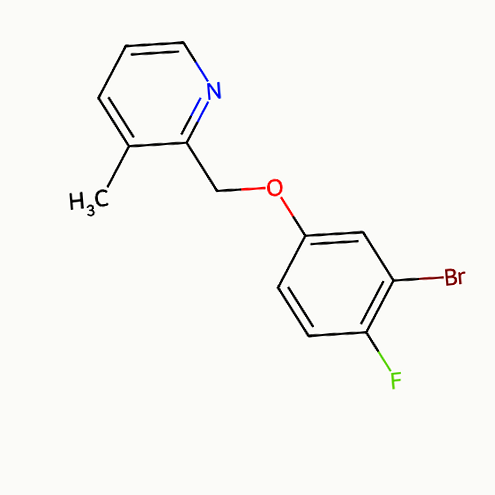 Cc1cccnc1COc1ccc(F)c(Br)c1